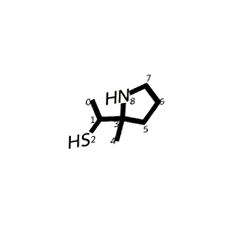 CC(S)C1(C)CCCN1